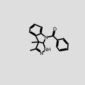 CC1=NNC2N(C(=O)c3ccccc3)c3ccccc3C12C